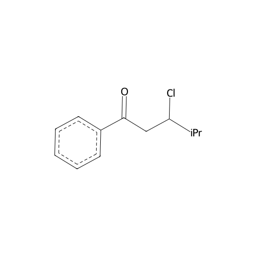 CC(C)C(Cl)CC(=O)c1ccccc1